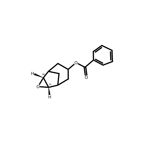 O=C(OC1CC2CC(C1)[C@@H]1O[C@H]21)c1ccccc1